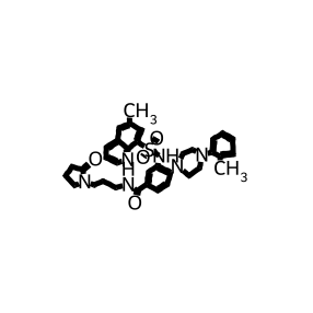 Cc1cc(S(=O)(=O)Nc2cc(C(=O)NCCCN3CCCC3=O)ccc2N2CCN(c3ccccc3C)CC2)c2ncccc2c1